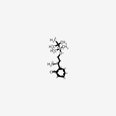 CC(C)(C)[Si](C)(C)OCC[C@H](N)c1ccccc1Cl